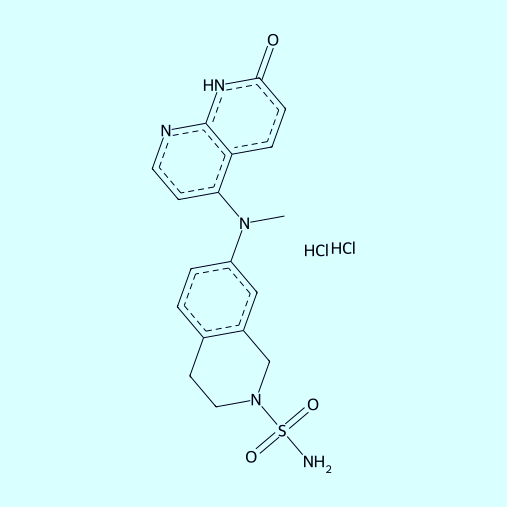 CN(c1ccc2c(c1)CN(S(N)(=O)=O)CC2)c1ccnc2[nH]c(=O)ccc12.Cl.Cl